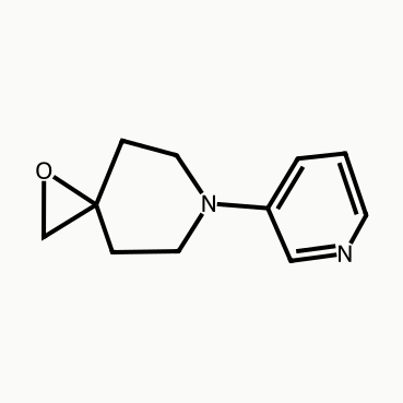 c1cncc(N2CCC3(CC2)CO3)c1